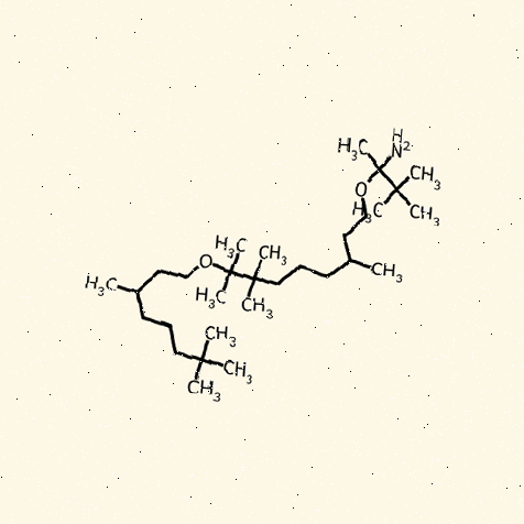 CC(CCCC(C)(C)C)CCOC(C)(C)C(C)(C)CCCC(C)CCOC(C)(N)C(C)(C)C